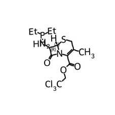 CC[PH2](CC)N[C@@H]1C(=O)N2C(C(=O)OCC(Cl)(Cl)Cl)=C(C)CS[C@@H]12